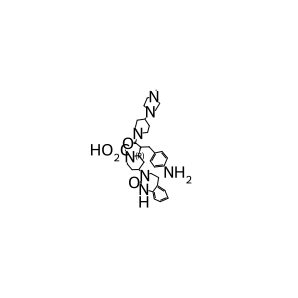 CN1CCN(C2CCN(C(=O)C(Cc3ccc(N)cc3)[C@H]3CC(N4CCc5ccccc5NC4=O)CCN3C(=O)O)CC2)CC1